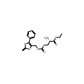 C=C1OC(COC(=O)SC[C@H](N)C(=O)OCC)=C(c2ccccc2)O1